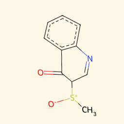 C[S+]([O-])C1C=Nc2ccccc2C1=O